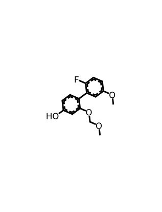 COCOc1cc(O)ccc1-c1cc(OC)ccc1F